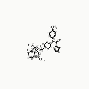 Cc1ccc(N(C(=O)c2ccco2)C2CCN(CCC(O[SiH](C)C)(C3CCCCC3)C(C)(C)C)CC2)nc1